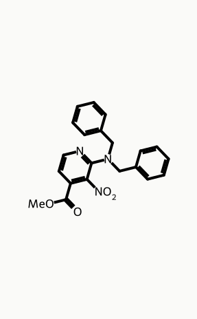 COC(=O)c1ccnc(N(Cc2ccccc2)Cc2ccccc2)c1[N+](=O)[O-]